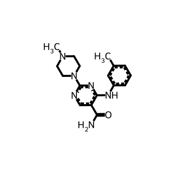 Cc1cccc(Nc2nc(N3CCN(C)CC3)ncc2C(N)=O)c1